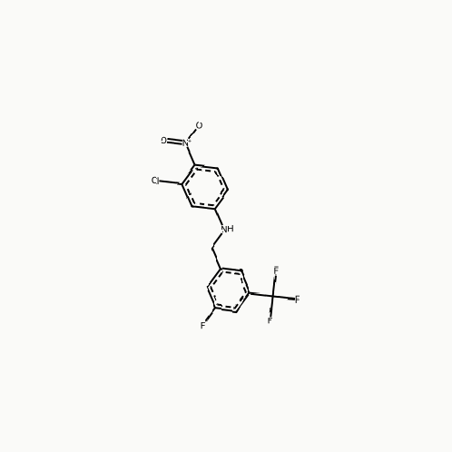 O=[N+]([O-])c1ccc(NCc2cc(F)cc(C(F)(F)F)c2)cc1Cl